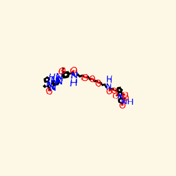 CC[C@@H]1C(=O)N(C)c2cnc(Nc3ccc(C(=O)NCCCOCCOCCOCCCCNC(=O)COc4cccc5c4C(=O)N(C4CCC(=O)NC4=O)C5=O)cc3OC)nc2N1C1CCCC1